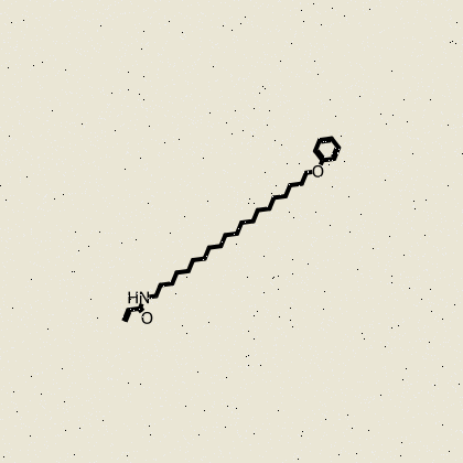 C=CC(=O)NCCCCCCCCCCCCCCCCCCCCOc1ccccc1